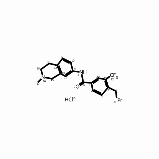 CC(C)Cc1ccc(C(=O)Nc2ccc3c(c2)CN(C)CC3)cc1C(F)(F)F.Cl